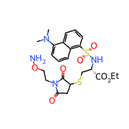 CCOC(=O)[C@H](CSC1CC(=O)N(CCON)C1=O)NS(=O)(=O)c1cccc2c(N(C)C)cccc12